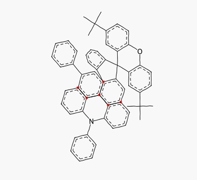 CC(C)(C)c1ccc2c(c1)C1(c3cc(C(C)(C)C)ccc3O2)c2ccccc2-c2c(-c3ccccc3N(c3ccccc3)c3ccccc3-c3ccc(-c4ccccc4)cc3)cccc21